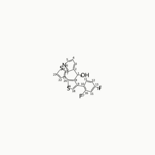 OC(c1cccnc1)c1c(-c2ccc(F)cc2F)csc1-c1ccsc1